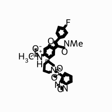 CNC(=O)c1c(-c2ccc(F)cc2)oc2cc(N[S@+](C)[O-])c([C@H]3CCCN(S(=O)(=O)c4cccc5nonc45)C3)cc12